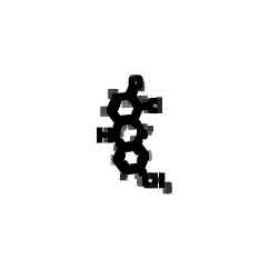 Cc1ccc2c(c1)SC1=C(C=CC(=O)C1Cl)N2